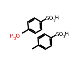 Cc1ccc(S(=O)(=O)O)cc1.Cc1ccc(S(=O)(=O)O)cc1.O